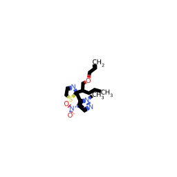 C=CCOCC(CCC)C1(c2c([N+](=O)[O-])cnn2C)N=CCS1